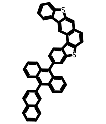 c1ccc2cc(-c3c4ccccc4c(-c4ccc5c(c4)sc4ccc6cc7sc8ccccc8c7cc6c45)c4ccccc34)ccc2c1